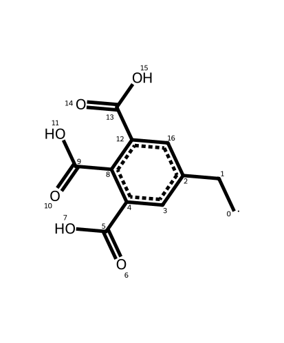 [CH2]Cc1cc(C(=O)O)c(C(=O)O)c(C(=O)O)c1